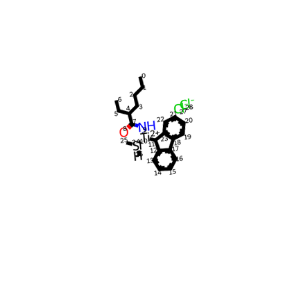 CCCCC(CC)C(=O)[NH][Ti+2]([CH]1c2ccccc2-c2ccccc21)[SiH](C)C.[Cl-].[Cl-]